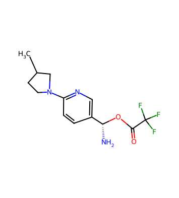 CC1CCN(c2ccc([C@@H](N)OC(=O)C(F)(F)F)cn2)C1